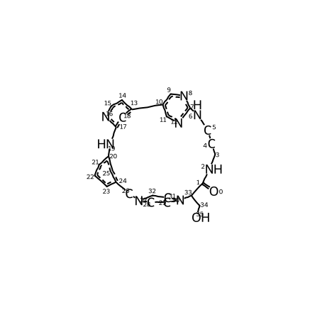 O=C1NCCCNc2ncc(cn2)-c2ccnc(c2)Nc2cccc(c2)CN2CCN(CC2)C1CO